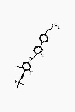 CCCc1ccc(-c2ccc(COc3cc(F)c(C#CC(F)(F)F)c(F)c3)c(F)c2)cc1